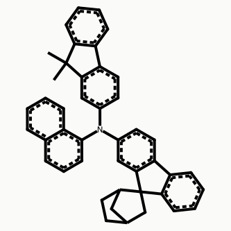 CC1(C)c2ccccc2-c2ccc(N(c3ccc4c(c3)C3(CC5CCC3C5)c3ccccc3-4)c3cccc4ccccc34)cc21